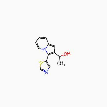 CC(O)c1cc2ccccn2c1-c1cncs1